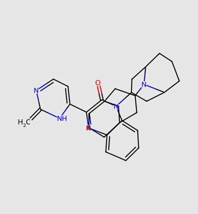 C=C1N=CC=C(c2nc3ccccc3n(C3CC4CCCC(C3)N4C3CC4CCCC(C4)C3)c2=O)N1